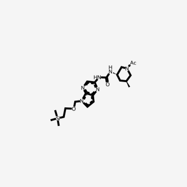 CC(=O)N1C[C@@H](C)C[C@H](NC(=O)Nc2cnc3c(ccn3COCC[Si](C)(C)C)n2)C1